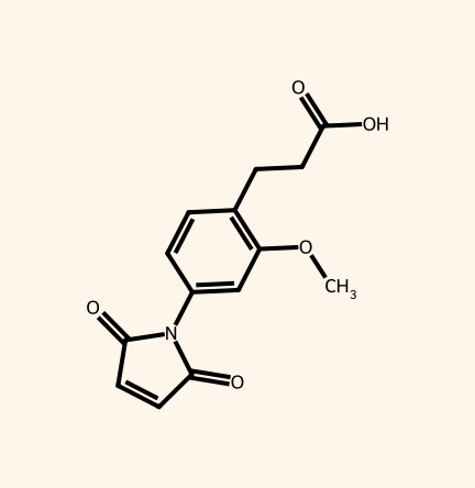 COc1cc(N2C(=O)C=CC2=O)ccc1CCC(=O)O